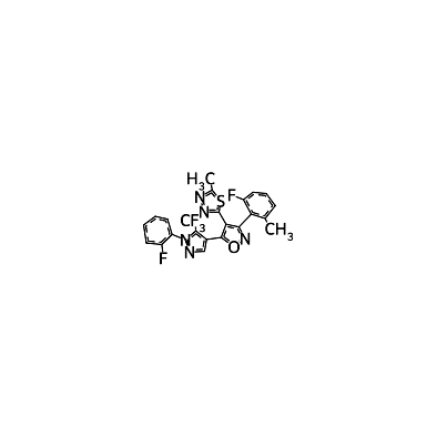 Cc1nnc(-c2c(-c3c(C)cccc3F)noc2-c2cnn(-c3ccccc3F)c2C(F)(F)F)s1